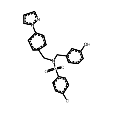 O=S(=O)(c1ccc(Cl)cc1)N(Cc1ccc(-n2cccn2)cc1)Cc1cccc(O)c1